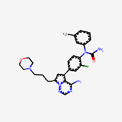 NC(=O)N(c1cccc(C(F)(F)F)c1)c1ccc(-c2cc(CCCN3CCOCC3)n3ncnc(N)c23)cc1F